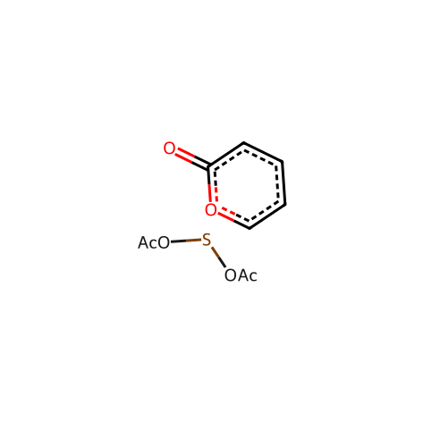 CC(=O)OSOC(C)=O.O=c1cccco1